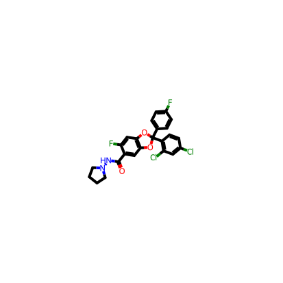 O=C(NN1CCCC1)c1cc2c(cc1F)OC(c1ccc(F)cc1)(c1ccc(Cl)cc1Cl)O2